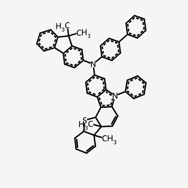 CC1(C)c2ccccc2-c2ccc(N(c3ccc(-c4ccccc4)cc3)c3ccc4c5c(n(-c6ccccc6)c4c3)C=CC3(C)C5SC4C=CC=CC43C)cc21